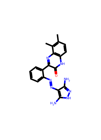 Cc1ccc2[nH]c(=O)c(-c3ccccc3/N=N/c3c(N)n[nH]c3N)nc2c1C